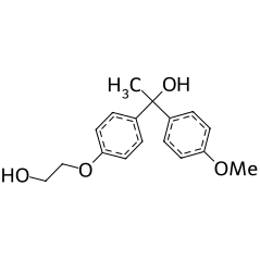 COc1ccc(C(C)(O)c2ccc(OCCO)cc2)cc1